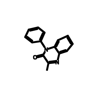 Cc1nc2ccccc2n(-c2ccccc2)c1=O